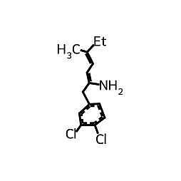 CC/C(C)=C/C=C(\N)Cc1ccc(Cl)c(Cl)c1